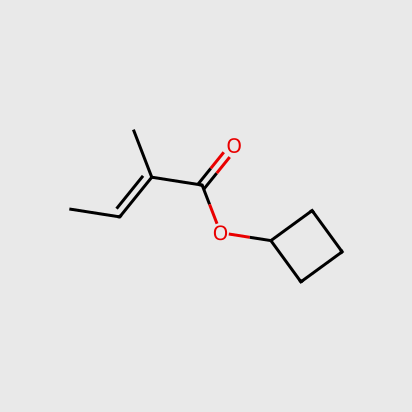 CC=C(C)C(=O)OC1CCC1